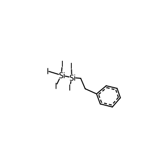 I[Si](I)(I)[Si](I)(I)CCc1ccccc1